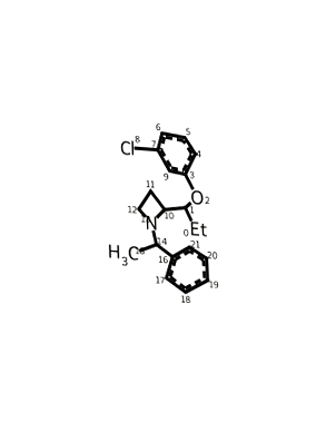 CCC(Oc1cccc(Cl)c1)C1CCN1C(C)c1ccccc1